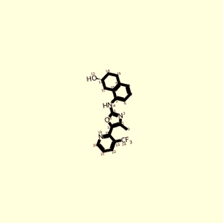 Cc1nc(Nc2cccc3c2C[C@H](O)CC3)oc1-c1ncccc1C(F)(F)F